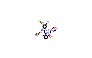 Cc1cccc2c(=O)n(CC(=O)N3CCOCC3)nc(Cc3nc4cc(C#N)c(OCC(F)F)cc4n3COCC[Si](C)(C)C)c12